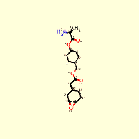 C=C(N)C(=O)OC1CCC(COC(=O)CC2CCC3OC3C2)CC1